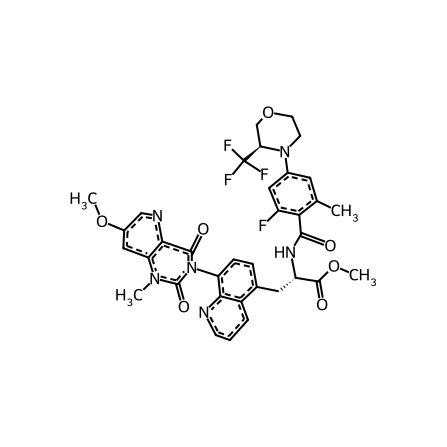 COC(=O)[C@H](Cc1ccc(-n2c(=O)c3ncc(OC)cc3n(C)c2=O)c2ncccc12)NC(=O)c1c(C)cc(N2CCOC[C@@H]2C(F)(F)F)cc1F